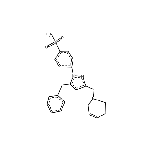 NS(=O)(=O)c1ccc(-n2nc(CN3CC=CCC3)cc2Cc2ccccc2)cc1